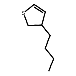 CCCCC1C=CSC1